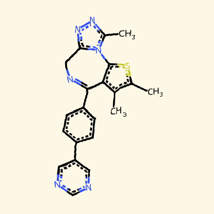 Cc1sc2c(c1C)C(c1ccc(-c3cncnc3)cc1)=NCc1nnc(C)n1-2